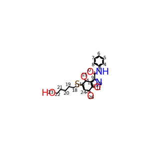 O=C(Nc1ccccc1)c1noc2c1C(=O)C(SCCCCCO)=CC2=O